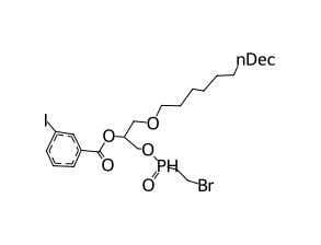 CCCCCCCCCCCCCCCCOCC(CO[PH](=O)CCBr)OC(=O)c1cccc(I)c1